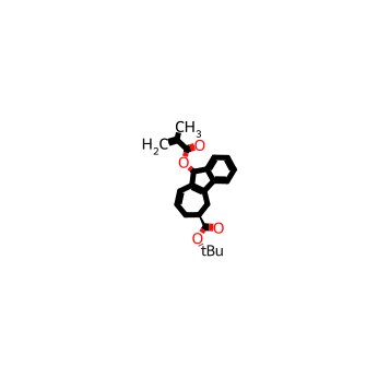 C=C(C)C(=O)OC1C2=C(C[C@@H](C(=O)OC(C)(C)C)CC=C2)c2ccccc21